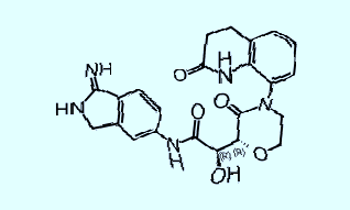 N=C1NCc2cc(NC(=O)[C@H](O)[C@H]3OCCN(c4cccc5c4NC(=O)CC5)C3=O)ccc21